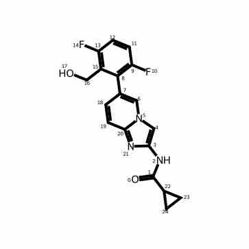 O=C(Nc1cn2cc(-c3c(F)ccc(F)c3CO)ccc2n1)C1CC1